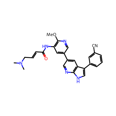 COc1ncc(-c2cnc3[nH]cc(-c4cccc(C#N)c4)c3c2)cc1NC(=O)/C=C/CN(C)C